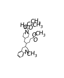 COC(=O)CCC(CC1CCN(C(=O)OC(C)(C)C)CC1)C1Cc2ccccc2N(C)C1